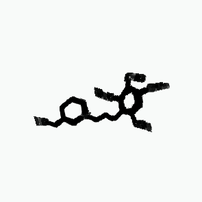 COc1cc(OC)c(CCCN2CCCC(CO)C2)c(OC)c1C=O